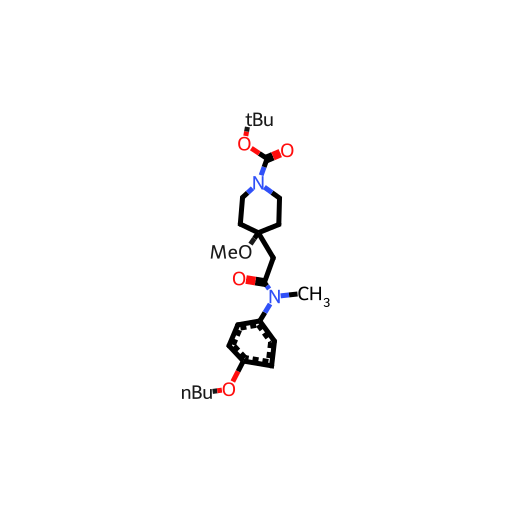 CCCCOc1ccc(N(C)C(=O)CC2(OC)CCN(C(=O)OC(C)(C)C)CC2)cc1